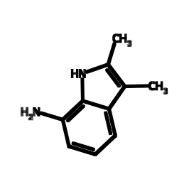 Cc1[nH]c2c(N)cccc2c1C